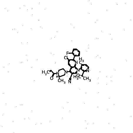 C=CC(=O)N1CCN(c2c(C#N)c(=O)n(-c3c(C)ccnc3C(C)C)c3nc(-c4ccccc4F)c(Cl)cc23)C[C@H]1C